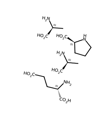 C[C@H](N)C(=O)O.C[C@H](N)C(=O)O.N[C@@H](CCC(=O)O)C(=O)O.O=C(O)[C@@H]1CCCN1